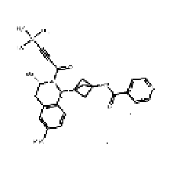 CCCC[C@H]1Cc2cc(OC)ccc2C(C23CC(NC(=O)c4ccncc4)(C2)C3)N1C(=O)C#C[Si](C)(C)C